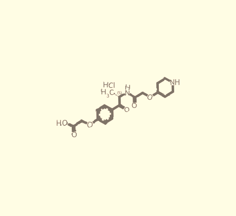 C[C@H](NC(=O)COC1CCNCC1)C(=O)c1ccc(OCC(=O)O)cc1.Cl